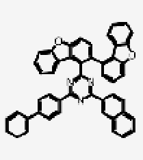 C1=CC(c2ccc(-c3nc(-c4ccc5ccccc5c4)nc(-c4c(-c5cccc6oc7ccccc7c56)ccc5oc6ccccc6c45)n3)cc2)=CCC1